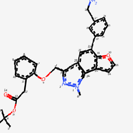 Cn1nc(COc2ccccc2CC(=O)OC(C)(C)C)c2cc(-c3cccc(CN)c3)c3occc3c21